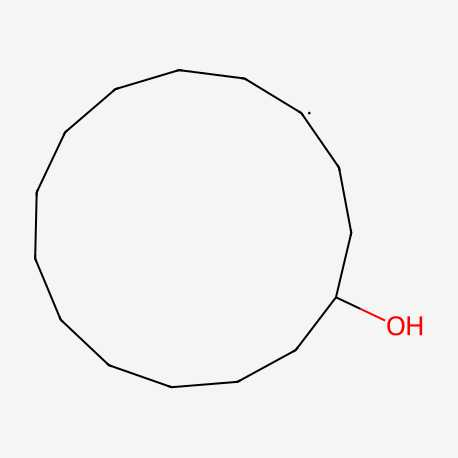 OC1CC[CH]CCCCCCCCCCC1